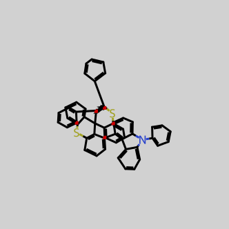 c1ccc(-c2cc3c(c(-c4ccccc4)c2)C2(c4ccccc4S3)c3ccccc3Sc3cccc(-c4cccc5c4c4ccccc4n5-c4ccccc4)c32)cc1